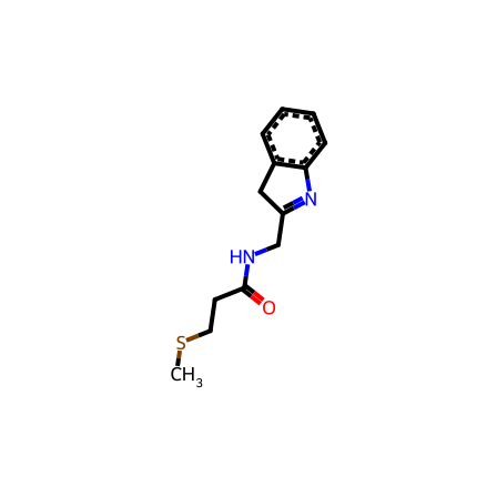 CSCCC(=O)NCC1=Nc2ccccc2C1